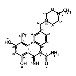 CC(C)c1cc(C(=N)N(C(N)=O)c2ccc(CN3CCN(C)CC3)cc2)c(O)cc1O